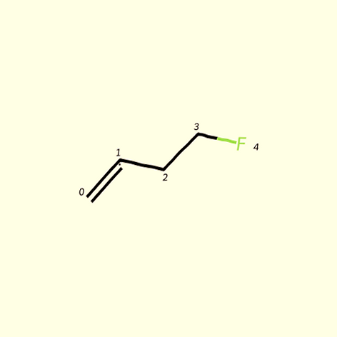 C=[C]CCF